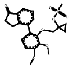 COc1ccc(-c2cccc3c2CCC3=O)c(OCC2(OS(C)(=O)=O)CC2)c1OC